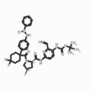 CC(C)(C)OC(=O)Nc1ccc(NC(=O)[C@H]2C[C@@H](F)CN2C(=O)C2(c3ccc(N[S+]([O-])c4ccccc4)cc3)CCC(F)(F)CC2)nc1C=N